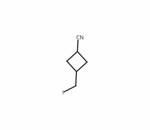 N#CC1CC(CI)C1